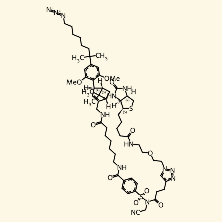 COc1cc(C(C)(C)CCCCCCN=[N+]=[N-])cc(OC)c1[C@H]1C=C(CNC(=O)CCCCCCNC(=O)c2ccc(S(=O)(=O)N(CC#N)C(=O)CCc3cn(CCOCCNC(=O)CCCC[C@@H]4SC[C@@H]5NC(=O)N[C@@H]54)nn3)cc2)[C@H]2C[C@@H]1C2(C)C